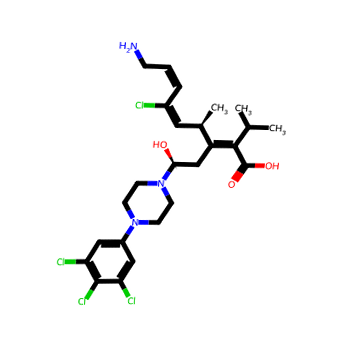 CC(C)/C(C(=O)O)=C(/C[C@H](O)N1CCN(c2cc(Cl)c(Cl)c(Cl)c2)CC1)[C@H](C)/C=C(Cl)\C=C/CN